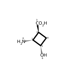 N[C@@H]1[C@@H](C(=O)O)C[C@@H]1O